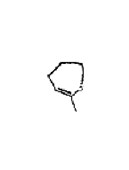 CC1=CCCCS1